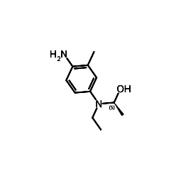 CCN(c1ccc(N)c(C)c1)[C@H](C)O